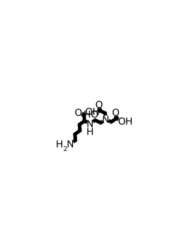 NCCCCC(NCCN(CC(=O)O)CC(=O)O)C(=O)O